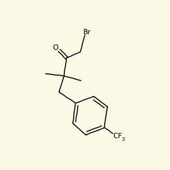 CC(C)(Cc1ccc(C(F)(F)F)cc1)C(=O)CBr